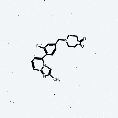 Cc1cn2c(-c3ccc(CN4CCS(=O)(=O)CC4)cc3F)cccc2n1